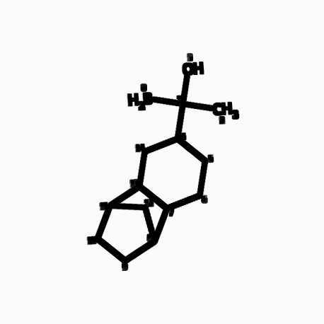 BC(C)(O)C1CCC2C3CCC(C3)C2C1